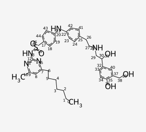 CCCCCCCc1cc(C)nc(NS(=O)(=O)c2ccc(Nc3ccc(CCNCC(O)c4ccc(O)c(CO)c4)cc3)cc2)n1